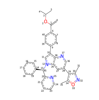 C=C(OC(C)C)c1ccc(-c2cn([C@H](c3ccccc3)c3ccccn3)c3cc(-c4c(C)noc4C)cnc23)cc1